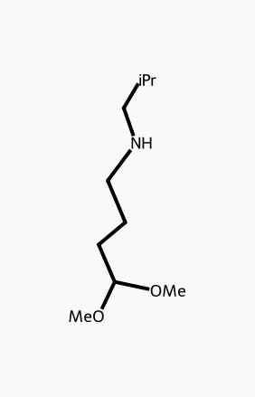 COC(CCCNCC(C)C)OC